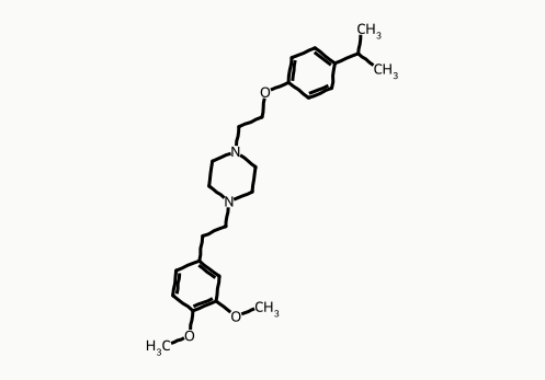 COc1ccc(CCN2CCN(CCOc3ccc(C(C)C)cc3)CC2)cc1OC